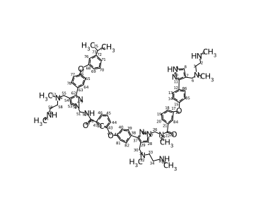 CNCCN(C)Cc1c[nH]nc1-c1ccc(Oc2cccc(C(=O)N(C)Cn3cc(CN(C)CCNC)c(-c4ccc(Oc5cccc(C(=O)NCn6cc(CN(C)CCNC)c(-c7ccc(Oc8cccc(C(C)C)c8)cc7)n6)c5)cc4)n3)c2)cc1